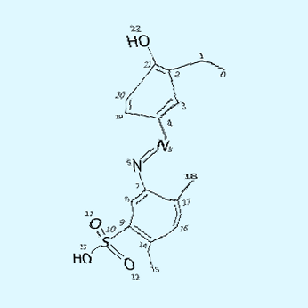 CCc1cc(N=Nc2cc(S(=O)(=O)O)c(C)cc2C)ccc1O